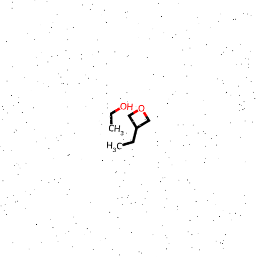 CCC1COC1.CCO